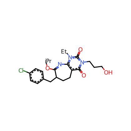 CCn1c2c(c(=O)n(CCCO)c1=O)CCC(Cc1ccc(Cl)cc1)C(OC(C)C)=N2